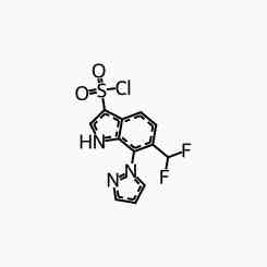 O=S(=O)(Cl)c1c[nH]c2c(-n3cccn3)c(C(F)F)ccc12